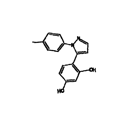 Cc1ccc(-n2nccc2-c2ccc(O)cc2O)cc1